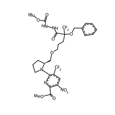 COC(=O)c1nc(N2CCC[C@H]2COCCCC(OCc2ccccc2)(C(=O)NNC(=O)OC(C)(C)C)C(F)(F)F)c(C(F)(F)F)cc1[N+](=O)[O-]